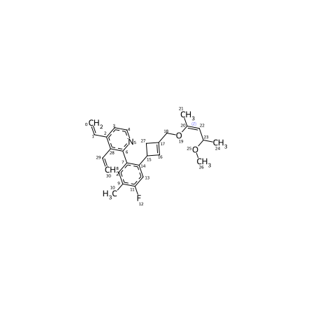 C=Cc1ccnc(-c2cc(C)c(F)cc2C2C=C(CO/C(C)=C\C(C)OC)C2)c1C=C